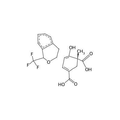 C[C@@]1(C(=O)O)CC(C(=O)O)=CC=C1O.FC(F)(F)C1OCCc2ccccc21